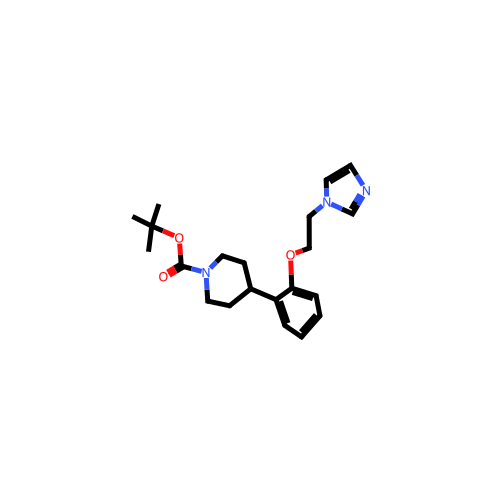 CC(C)(C)OC(=O)N1CCC(c2ccccc2OCCn2ccnc2)CC1